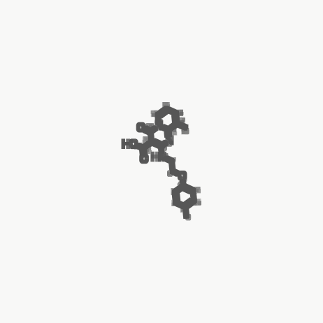 Cc1ccc(OCCNc2nc3c(C)cccn3c(=O)c2C(=O)O)cc1